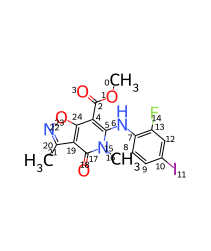 COC(=O)c1c(Nc2ccc(I)cc2F)n(C)c(=O)c2c(C)noc12